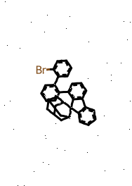 Brc1ccccc1-c1ccccc1-c1cccc2c1C1(c3ccccc3-2)C2CC3CC(C2)CC1C3